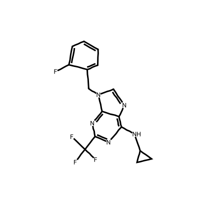 Fc1ccccc1Cn1cnc2c(NC3CC3)nc(C(F)(F)F)nc21